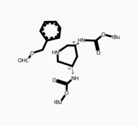 CC(C)(C)OC(=O)N[C@@H]1CNC[C@H](NC(=O)OC(C)(C)C)C1.O=COCc1ccccc1